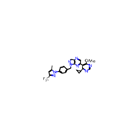 COc1ncnc(C2CC2)c1-c1cnc2cnn(Cc3ccc(-n4nc(C(F)(F)F)cc4C)cc3)c2n1